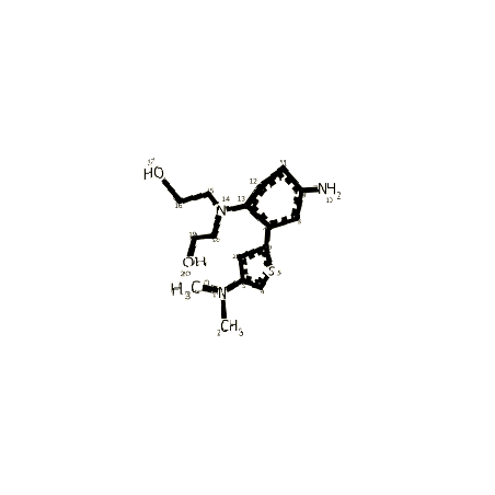 CN(C)c1csc(-c2cc(N)ccc2N(CCO)CCO)c1